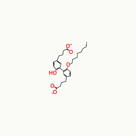 CCCCCCCCOc1ccc(CCCC(=O)OC)cc1-c1cc(CCCC(=O)OC)ccc1O